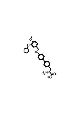 COc1ccc(CNc2ccc(-c3ccc(CC(N)C(=O)O)cc3)cc2)cc1OC1CCCC1